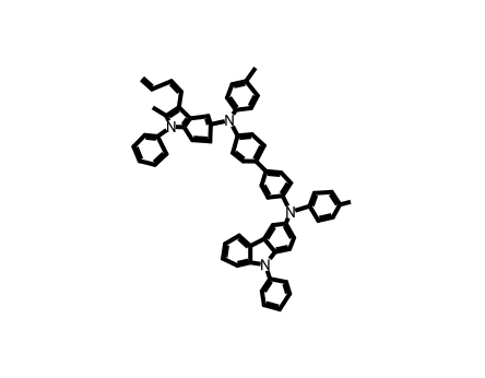 C=C/C=C\c1c(C)n(-c2ccccc2)c2ccc(N(c3ccc(C)cc3)c3ccc(-c4ccc(N(c5ccc(C)cc5)c5ccc6c(c5)c5ccccc5n6-c5ccccc5)cc4)cc3)cc12